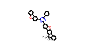 CC1(C)c2ccccc2-c2cc3oc4cc(-c5nc(-c6ccccc6)nc(-c6ccc7oc8ccccc8c7c6)n5)ccc4c3cc21